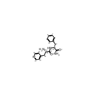 NC(=O)[C@H](Cc1ccccc1)NC(=O)[C@@H](N)Cc1ccncc1